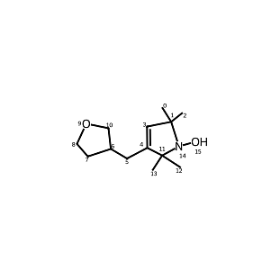 CC1(C)C=C(CC2CCOC2)C(C)(C)N1O